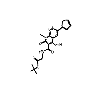 Cn1c(=O)c(C(=O)NCC(=O)OC(C)(C)C)c(O)c2cc(C3CC=CC3)nnc21